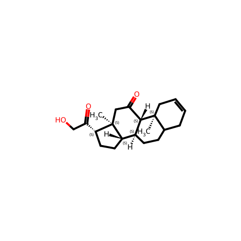 C[C@]12CC(=O)[C@H]3[C@@H](CCC4CC=CC[C@@]43C)[C@@H]1CC[C@@H]2C(=O)CO